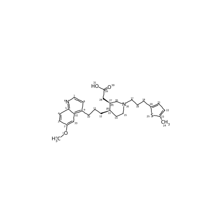 COc1ccc2nccc(CCC[C@@H]3CCN(CCCc4ccc(C)s4)C[C@@H]3CC(=O)O)c2c1